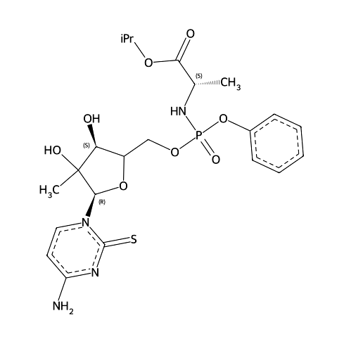 CC(C)OC(=O)[C@H](C)NP(=O)(OCC1O[C@@H](n2ccc(N)nc2=S)C(C)(O)[C@H]1O)Oc1ccccc1